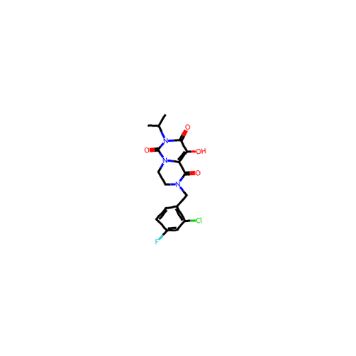 CC(C)n1c(=O)c(O)c2n(c1=O)CCN(Cc1ccc(F)cc1Cl)C2=O